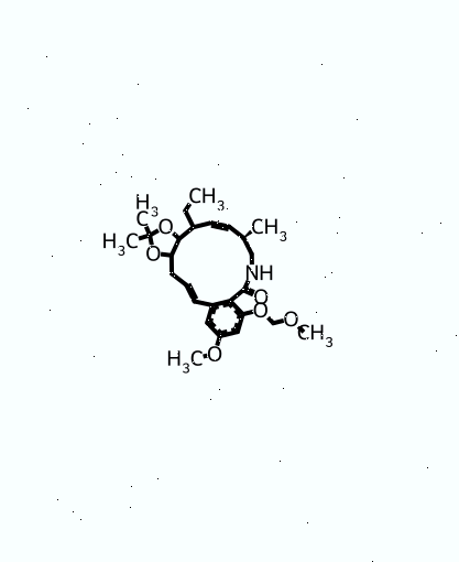 CCC1/C=C\[C@@H](C)CNC(=O)c2c(cc(OC)cc2OCOC)/C=C/CC2OC(C)(C)OC12